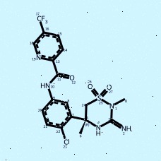 CN1C(=N)N[C@](C)(c2cc(NC(=O)c3ccc(C(F)(F)F)cn3)ccc2Cl)CS1(=O)=O